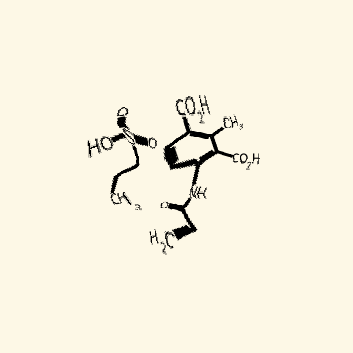 C=CC(=O)Nc1ccc(C(=O)O)c(C)c1C(=O)O.CCCS(=O)(=O)O